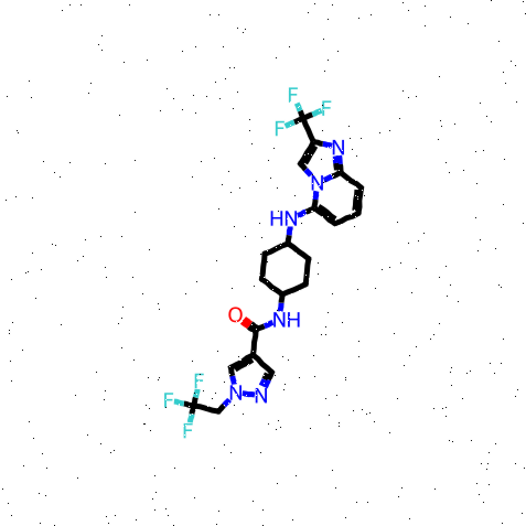 O=C(NC1CCC(Nc2cccc3nc(C(F)(F)F)cn23)CC1)c1cnn(CC(F)(F)F)c1